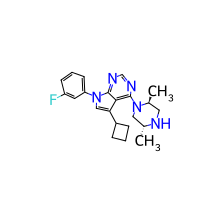 C[C@@H]1CN(c2ncnc3c2c(C2CCC2)cn3-c2cccc(F)c2)[C@@H](C)CN1